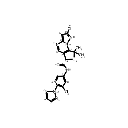 CC1(C)O[C@H](C(=O)Nc2cnc(-n3nccn3)c(Cl)c2)c2cnc3cc(Cl)nn3c21